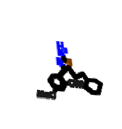 COc1ccc(-c2nc(N)sc2CCC2CCCCC2)c(OC)c1